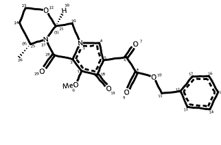 COc1c2n(cc(C(=O)C(=O)OCc3ccccc3)c1=O)C[C@@H]1OCC[C@@H](C)N1C2=O